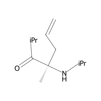 C=CC[C@@](C)(NC(C)C)C(=O)C(C)C